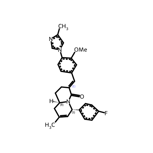 COc1cc(/C=C2\CC[C@@H]3CC(C)=C[C@@H](c4ccc(F)cc4)N3C2=O)ccc1-n1cnc(C)c1